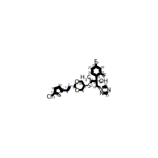 C[C@@H](S[C@H]1CO[C@H](/C=C/c2ccc(Cl)s2)OC1)[C@](O)(Cn1cncn1)c1ccc(F)cc1F